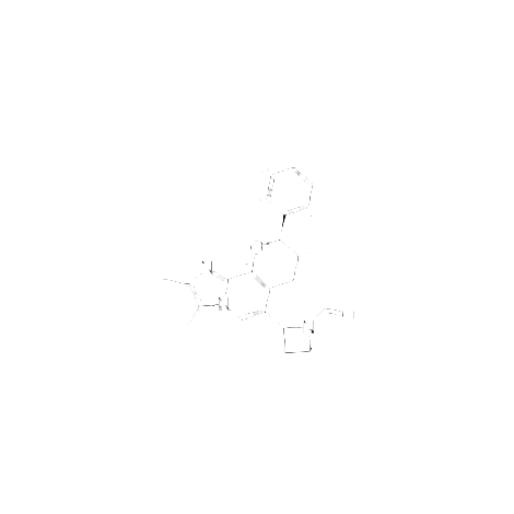 Cc1nc2c3c(c(C4CCN4C=O)cn2c1C)CC[C@H](c1ccccc1)O3